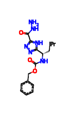 CC(C)C[C@H](NC(=O)OCc1ccccc1)c1nnc(C(=O)NN)[nH]1